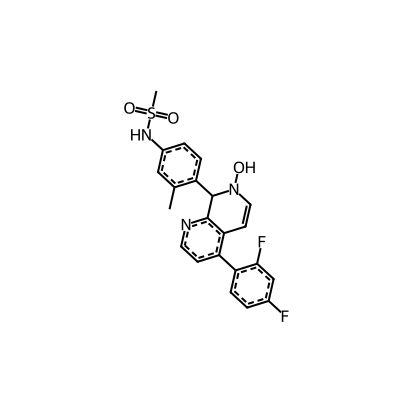 Cc1cc(NS(C)(=O)=O)ccc1C1c2nccc(-c3ccc(F)cc3F)c2C=CN1O